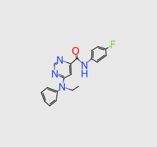 CCN(c1ccccc1)c1cc(C(=O)Nc2ccc(F)cc2)ncn1